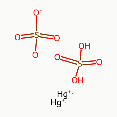 O=S(=O)(O)O.O=S(=O)([O-])[O-].[Hg+].[Hg+]